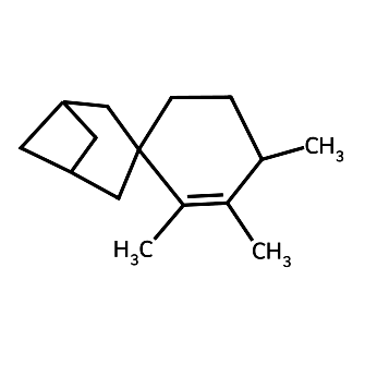 CC1=C(C)C2(CCC1C)CC1CC(C1)C2